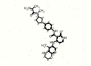 Cc1c(Nc2cc[nH]c(=O)c2C(=O)Nc2ccc(N3CCC(N(C)C(=O)C(C)C)C3)cc2)cnc2c1NCCO2